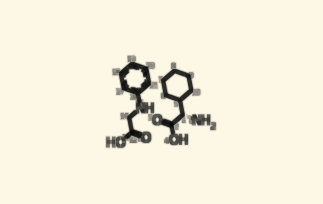 N[C@H](C(=O)O)C1CCCCC1.O=C(O)CNc1ccccc1